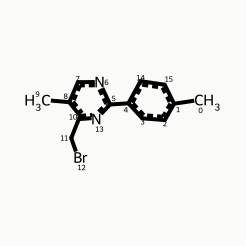 Cc1ccc(-c2ncc(C)c(CBr)n2)cc1